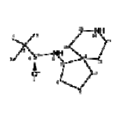 CC(C)(C)[S@+]([O-])NC1CCCC12CCNCC2